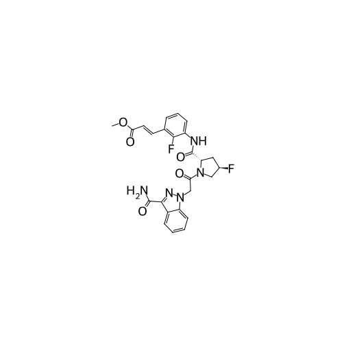 COC(=O)C=Cc1cccc(NC(=O)[C@@H]2C[C@@H](F)CN2C(=O)Cn2nc(C(N)=O)c3ccccc32)c1F